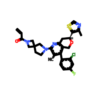 C=CC(=O)N1CC2(CCN(c3nc4c(c(-c5ccc(F)cc5Cl)c3C#N)CO[C@@H](c3scnc3C)C4)C2)C1